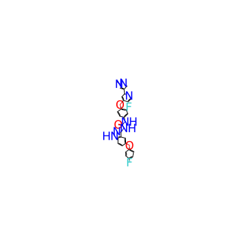 Cn1cc(-c2cc(Oc3ccc(NC(=O)Nc4n[nH]c5ccc(Oc6ccc(F)cc6)cc45)cc3F)ccn2)cn1